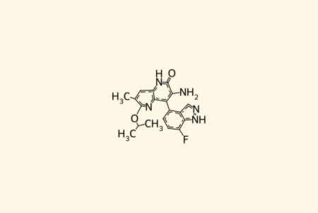 Cc1cc2[nH]c(=O)c(N)c(-c3ccc(F)c4[nH]ncc34)c2nc1OC(C)C